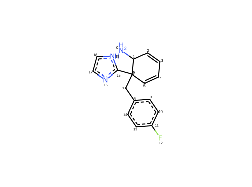 NC1C=CC=CC1(Cc1ccc(F)cc1)c1ncc[nH]1